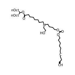 C#CCCCCCCCCCOC(=O)OCCCCN(CCO)CCCCCCCC(=O)OC(CCCCCCCC)CCCCCCCC